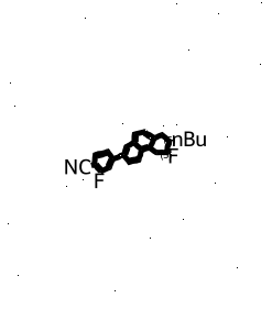 CCCC[C@H]1Cc2ccc3cc(-c4ccc(C#N)c(F)c4)ccc3c2C[C@@H]1F